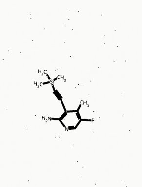 Cc1c(F)cnc(N)c1C#C[Si](C)(C)C